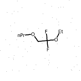 CCCOCC(F)(F)OCC